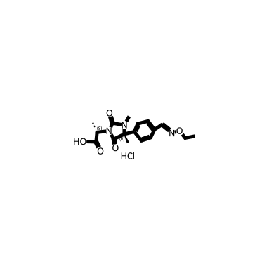 CCON=Cc1ccc([C@]2(C)C(=O)N([C@@H](C)C(=O)O)C(=O)N2C)cc1.Cl